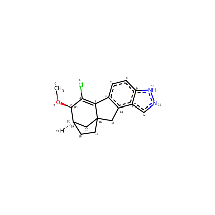 CO[C@H]1C(Cl)=C2c3ccc4[nH]ncc4c3CC23CC[C@@H]1C3